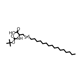 CCCCCCCCCCCCCCCCSSCC(NC(=O)OC(C)(C)C)C(=O)O